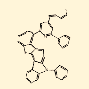 C/C=C\C=C/c1cc(-c2ccccc2)nc(-c2cccc3sc4c(ccc5c4c4ccccc4n5-c4ccccc4)c23)c1